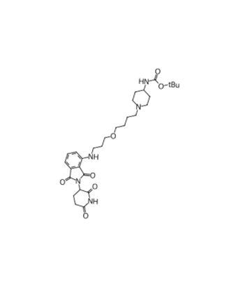 CC(C)(C)OC(=O)NC1CCN(CCCCOCCCNc2cccc3c2C(=O)N(C2CCC(=O)NC2=O)C3=O)CC1